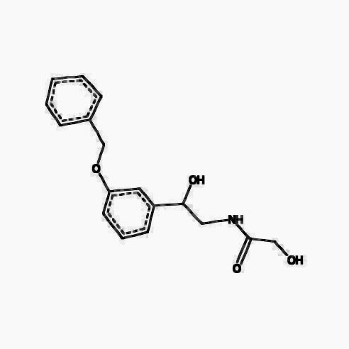 O=C(CO)NCC(O)c1cccc(OCc2ccccc2)c1